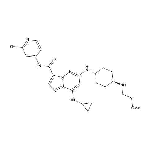 COCCN[C@H]1CC[C@H](Nc2cc(NC3CC3)c3ncc(C(=O)Nc4ccnc(Cl)c4)n3n2)CC1